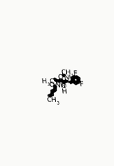 CCCC=CC(=O)NC(CC)C[C@H](O)[C@H](Cc1cc(F)cc(F)c1)NC(C)=O